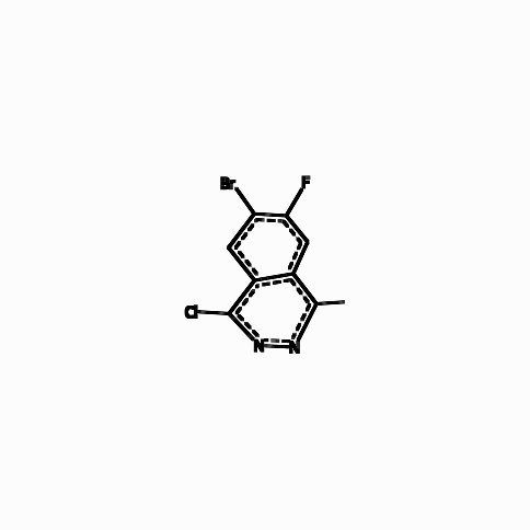 Cc1nnc(Cl)c2cc(Br)c(F)cc12